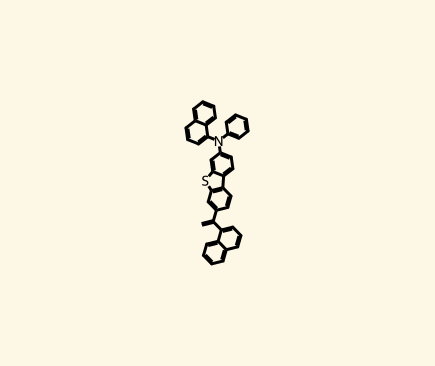 C=C(c1ccc2c(c1)sc1cc(N(c3ccccc3)c3cccc4ccccc34)ccc12)c1cccc2ccccc12